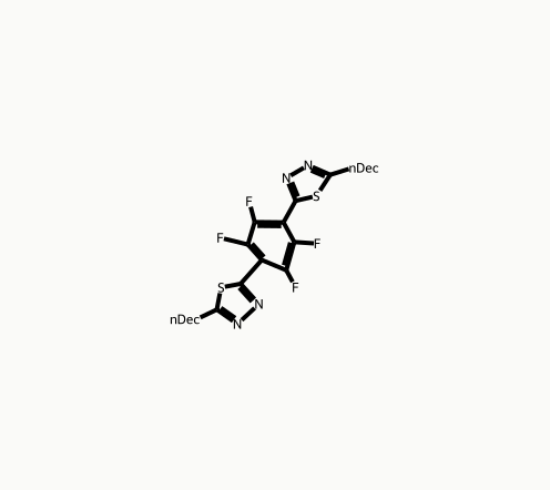 CCCCCCCCCCc1nnc(-c2c(F)c(F)c(-c3nnc(CCCCCCCCCC)s3)c(F)c2F)s1